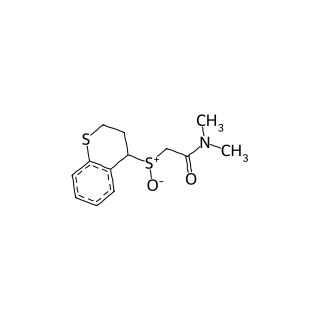 CN(C)C(=O)C[S+]([O-])C1CCSc2ccccc21